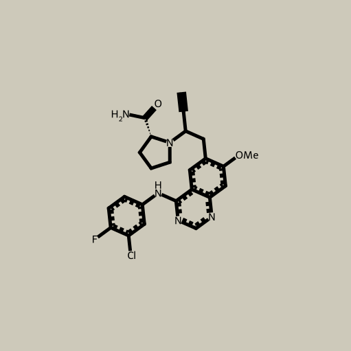 C#CC(Cc1cc2c(Nc3ccc(F)c(Cl)c3)ncnc2cc1OC)N1CCC[C@@H]1C(N)=O